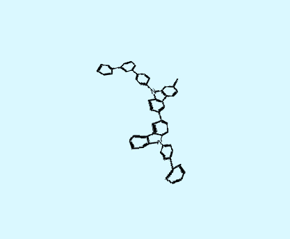 CC1C=Cc2c(n(-c3ccc(-c4cccc(-c5ccccc5)c4)cc3)c3ccc(-c4ccc5c(c4)c4ccccc4n5-c4ccc(-c5ccccc5)cc4)cc23)C1